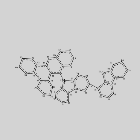 c1ccc2c(-n3c4ccccc4c4cc(-c5cccc6c5sc5ccccc56)ccc43)c3c4ccccc4c4ccccc4c3cc2c1